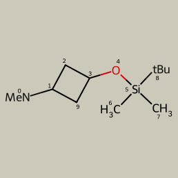 CNC1CC(O[Si](C)(C)C(C)(C)C)C1